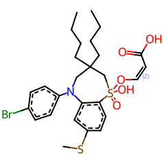 CCCCC1(CCCC)CN(c2ccc(Br)cc2)c2cc(SC)ccc2S(=O)(O)(O/C=C\C(=O)O)C1